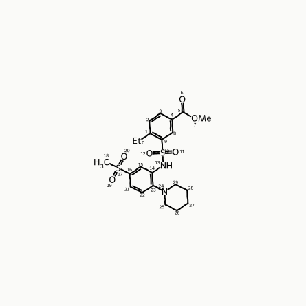 CCc1ccc(C(=O)OC)cc1S(=O)(=O)Nc1cc(S(C)(=O)=O)ccc1N1CCCCC1